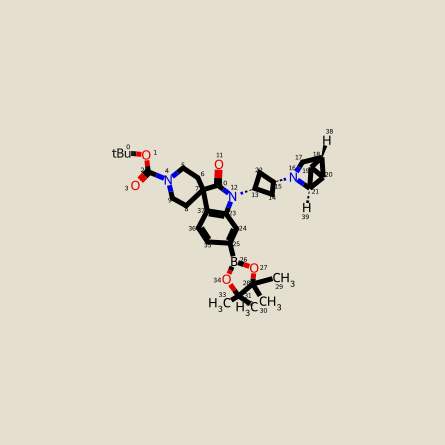 CC(C)(C)OC(=O)N1CCC2(CC1)C(=O)N([C@H]1C[C@@H](N3C[C@H]4C5C4[C@H]53)C1)c1cc(B3OC(C)(C)C(C)(C)O3)ccc12